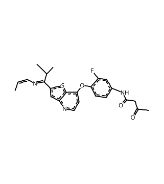 C/C=C\N=C(\c1cc2nccc(Oc3ccc(NC(=O)CC(C)=O)cc3F)c2s1)C(C)C